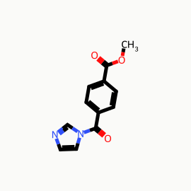 COC(=O)c1ccc(C(=O)n2ccnc2)cc1